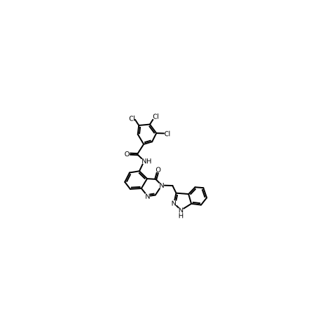 O=C(Nc1cccc2ncn(Cc3n[nH]c4ccccc34)c(=O)c12)c1cc(Cl)c(Cl)c(Cl)c1